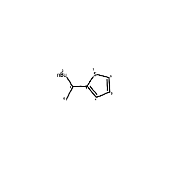 [CH2]C(CCCC)c1cccs1